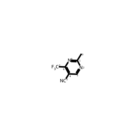 Cc1ncc(C#N)c(C(F)(F)F)n1